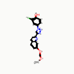 O=COCOc1ccc2ccc(-c3cn(-c4ccc(O)c(F)c4)nn3)nc2c1